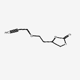 C#CCOCCC1COC(=O)O1